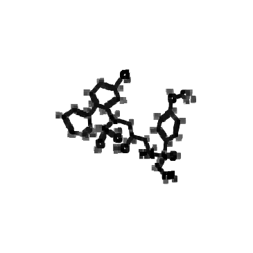 CN=S(=O)(NCC(O)CN1c2cc(Cl)ccc2-c2ccccc2S1(=O)=O)c1ccc(OC(F)(F)F)cc1